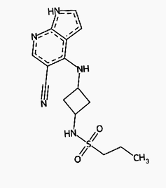 CCCS(=O)(=O)NC1CC(Nc2c(C#N)cnc3[nH]ccc23)C1